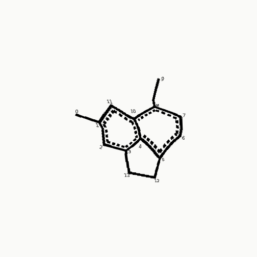 Cc1cc2c3c(ccc(C)c3c1)CC2